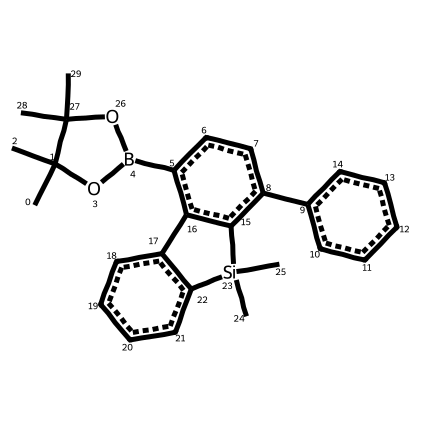 CC1(C)OB(c2ccc(-c3ccccc3)c3c2-c2ccccc2[Si]3(C)C)OC1(C)C